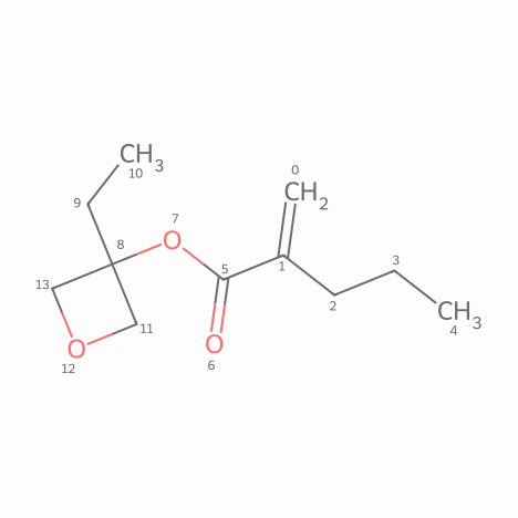 C=C(CCC)C(=O)OC1(CC)COC1